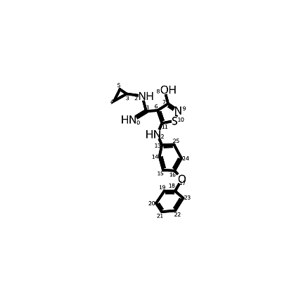 N=C(NC1CC1)c1c(O)nsc1Nc1ccc(Oc2ccccc2)cc1